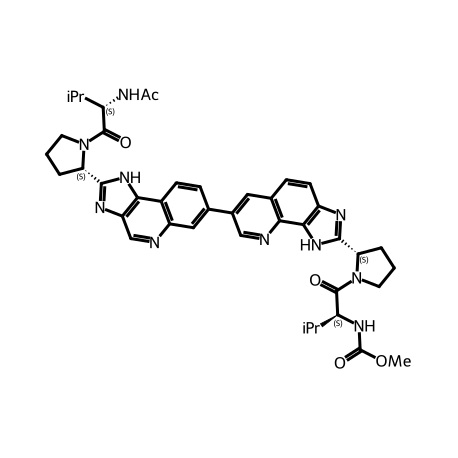 COC(=O)N[C@H](C(=O)N1CCC[C@H]1c1nc2ccc3cc(-c4ccc5c(c4)ncc4nc([C@@H]6CCCN6C(=O)[C@@H](NC(C)=O)C(C)C)[nH]c45)cnc3c2[nH]1)C(C)C